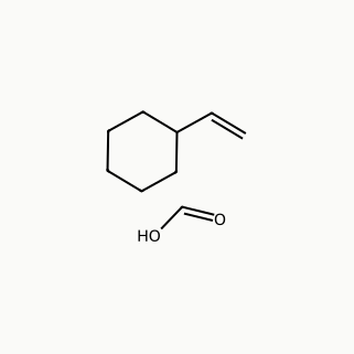 C=CC1CCCCC1.O=CO